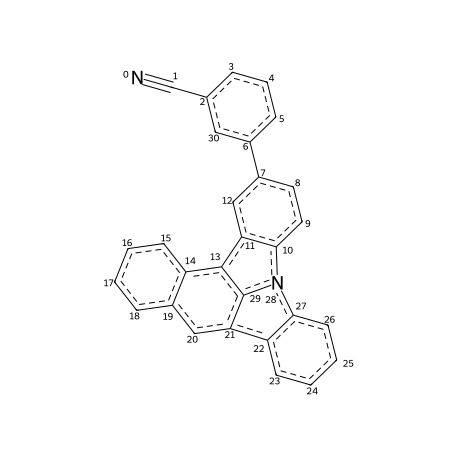 N#Cc1cccc(-c2ccc3c(c2)c2c4ccccc4cc4c5ccccc5n3c42)c1